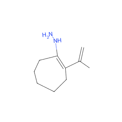 C=C(C)C1=C(NN)CCCCC1